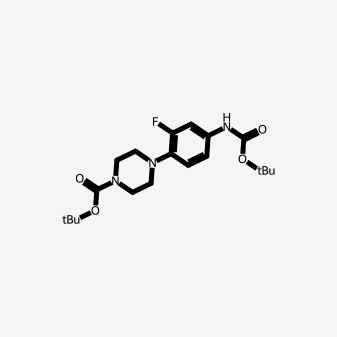 CC(C)(C)OC(=O)Nc1ccc(N2CCN(C(=O)OC(C)(C)C)CC2)c(F)c1